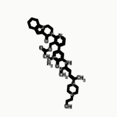 C=N/C(=C\C=C(/C)N1CCN(CCO)CC1)Nc1cc(-c2ccnc(N3CCn4c(cc5c4CCCC5)C3=O)c2COC(C)=O)cn(C)c1=O